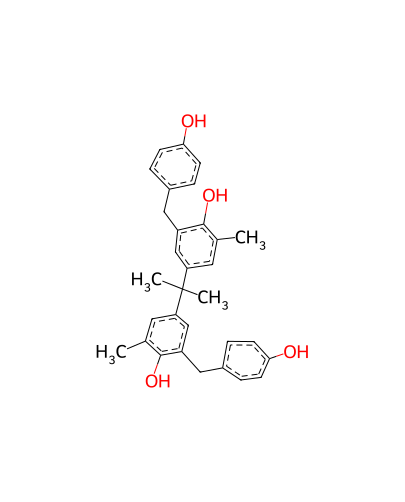 Cc1cc(C(C)(C)c2cc(C)c(O)c(Cc3ccc(O)cc3)c2)cc(Cc2ccc(O)cc2)c1O